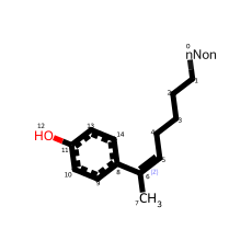 CCCCCCCCCCCCC/C=C(/C)c1ccc(O)cc1